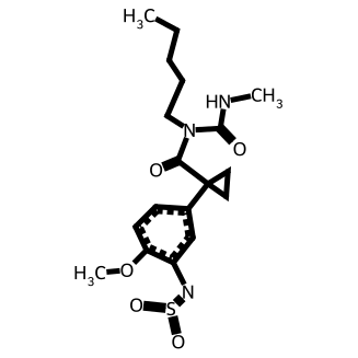 CCCCCN(C(=O)NC)C(=O)C1(c2ccc(OC)c(N=S(=O)=O)c2)CC1